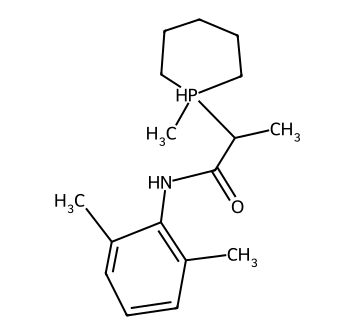 Cc1cccc(C)c1NC(=O)C(C)[PH]1(C)CCCCC1